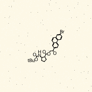 CC(C)(C)OC(=O)NC1CCCC1C(=O)OCC(=O)c1ccc2c(ccc3cc(Br)ccc32)c1